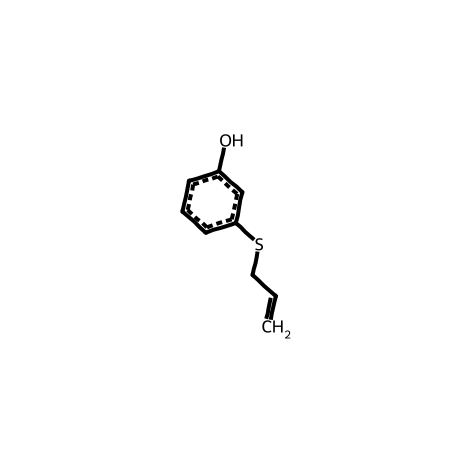 C=CCSc1cccc(O)c1